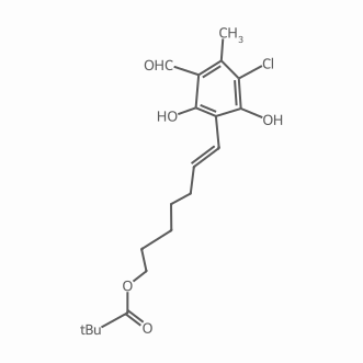 Cc1c(Cl)c(O)c(C=CCCCCCOC(=O)C(C)(C)C)c(O)c1C=O